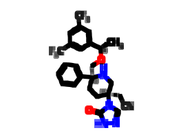 C[C@@H](OC[C@@]1(c2ccccc2)CC[C@](CC#N)(n2cn[nH]c2=O)CN1)c1cc(C(F)(F)F)cc(C(F)(F)F)c1